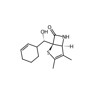 CC1=C(C)[C@@H]2NC(=O)[C@]2([C@@H](O)C2C=CCCC2)S1